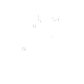 Nc1[nH]nc(-c2cnc3ccccc3c2)c1F